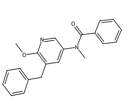 COc1ncc(N(C)C(=O)c2ccccc2)cc1Cc1ccccc1